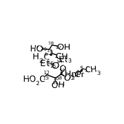 C=CC.C=CC.CCCOC(=O)C(O)CC(=O)O.CCOCC.OCCO